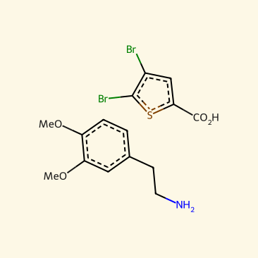 COc1ccc(CCN)cc1OC.O=C(O)c1cc(Br)c(Br)s1